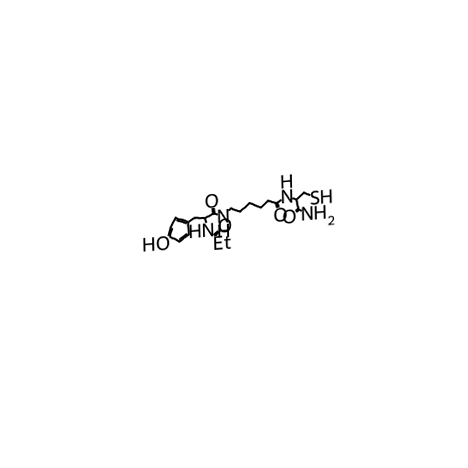 CCC(=O)NC(Cc1ccc(O)cc1)C(=O)NCCCCCC(=O)NC(CS)C(N)=O